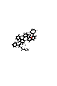 C#CCC/C=C(\C)c1ccccc1-n1c2c(c3ccccc31)C(c1cccc3c1c1ccccc1n3C1=C(c3ccccc3)CCC=CC1)=CCC2